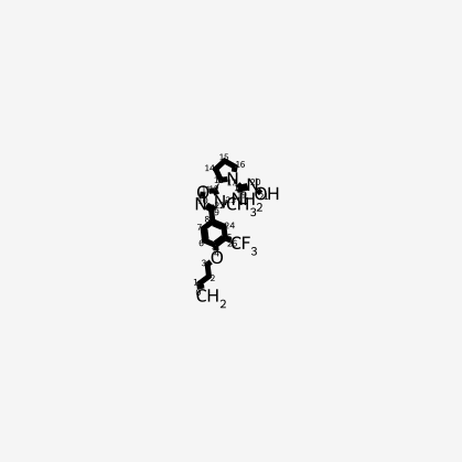 C=CCCOc1ccc(C2=NOC([C@@H]3CCCN3/C(N)=N/O)N2C)cc1C(F)(F)F